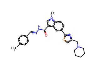 CCn1cc(C(=O)N/N=C/c2ccc(C)cc2)c2cc(-c3nc(CN4CCCCC4)cs3)ccc21